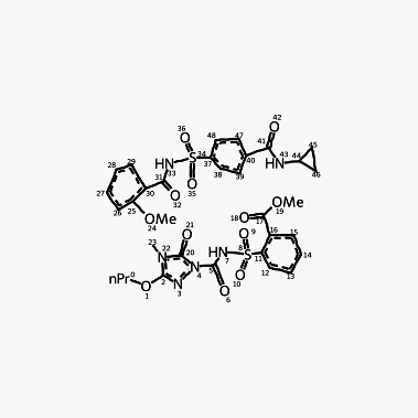 CCCOc1nn(C(=O)NS(=O)(=O)c2ccccc2C(=O)OC)c(=O)n1C.COc1ccccc1C(=O)NS(=O)(=O)c1ccc(C(=O)NC2CC2)cc1